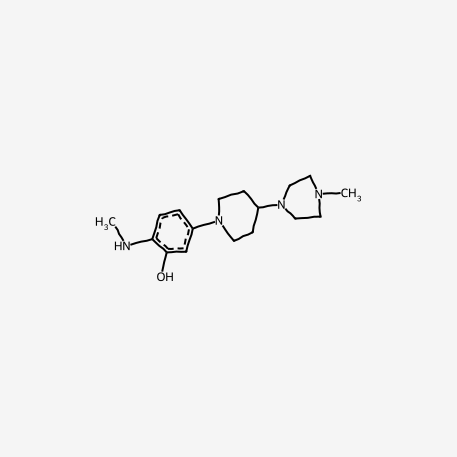 CNc1ccc(N2CCC(N3CCN(C)CC3)CC2)cc1O